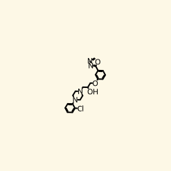 OC(COc1cccc(-c2nnco2)c1)CN1CCN(c2ccccc2Cl)CC1